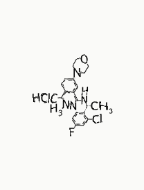 Cc1nnc(N[C@H](C)c2ccc(F)cc2Cl)c2cc(N3CCOCC3)ccc12.Cl